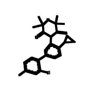 Cc1ccc(-c2ccc(C3CC3)c(C3C(=O)C(C)(C)OC(C)(C)C3=O)c2)c(Cl)c1